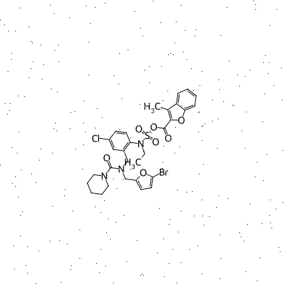 CCN(c1ccc(Cl)cc1CN(Cc1ccc(Br)o1)C(=O)N1CCCCC1)S(=O)(=O)OC(=O)c1oc2ccccc2c1C